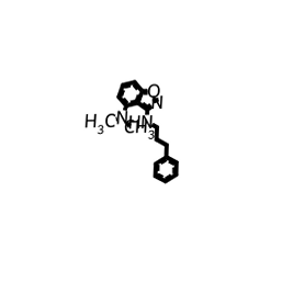 CN(C)c1cccc2onc(NCCCc3ccccc3)c12